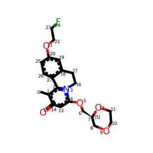 Cc1c2n(c(OC[C@@H]3COCCO3)cc1=O)CCc1cc(OCCF)ccc1-2